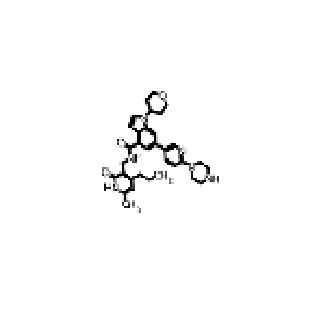 CCCc1cc(C)[nH]c(=O)c1CNC(=O)c1cc(-c2ccc(N3CCNCC3)nc2)cc2c1ccn2C1CCOCC1